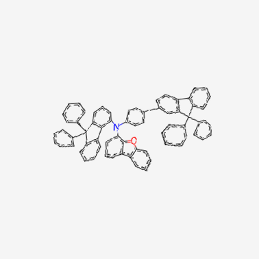 c1ccc(C2(c3ccccc3)c3ccccc3-c3ccc(-c4ccc(N(c5cccc6c5-c5ccccc5C6(c5ccccc5)c5ccccc5)c5cccc6c5oc5ccccc56)cc4)cc32)cc1